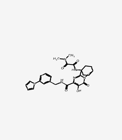 CN(C)C(=O)C(=O)NC12CCC(CC1)Cn1c2nc(C(=O)NCc2cccc(-n3cccc3)c2)c(O)c1=O